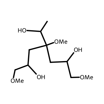 COCC(O)CC(CC(O)COC)(OC)C(C)O